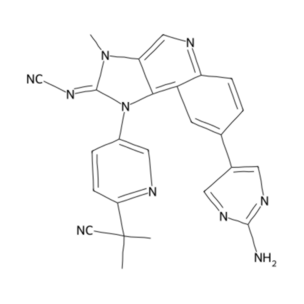 Cn1c(=NC#N)n(-c2ccc(C(C)(C)C#N)nc2)c2c3cc(-c4cnc(N)nc4)ccc3ncc21